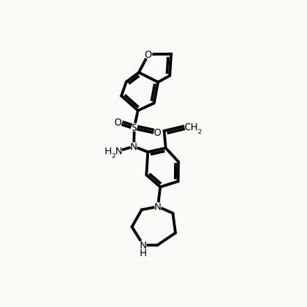 C=Cc1ccc(N2CCCNCC2)cc1N(N)S(=O)(=O)c1ccc2occc2c1